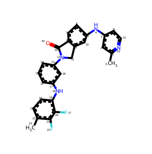 Cc1cc(Nc2ccc3c(c2)CN(c2cccc(Nc4ccc(C)c(F)c4F)c2)C3=O)ccn1